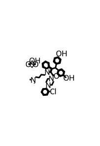 CN(C)CCCCn1c(C(=O)N2CCN(c3ccccc3Cl)CC2)c(C(c2ccc(O)cc2)c2ccc(O)cc2)c2ccccc21.CS(=O)(=O)O